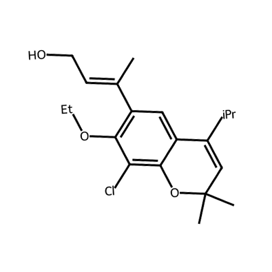 CCOc1c(C(C)=CCO)cc2c(c1Cl)OC(C)(C)C=C2C(C)C